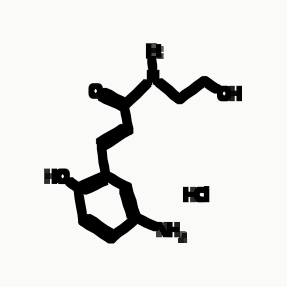 CCN(CCO)C(=O)/C=C/c1cc(N)ccc1O.Cl